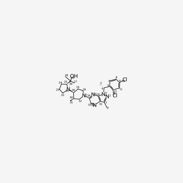 Cc1nn([C@H](C)c2ccc(Cl)cc2Cl)c2nc(N3CC[C@H](N4CCC[C@H]4C(C)(C)O)[C@H](C)C3)cnc12